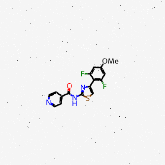 COc1cc(F)c(-c2csc(NC(=O)c3ccncc3)n2)c(F)c1